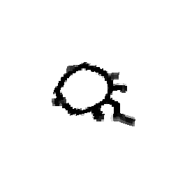 CCCCCCCCCCC1C(=O)CCNCCNCCNC1=O